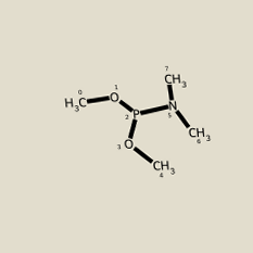 COP(OC)N(C)C